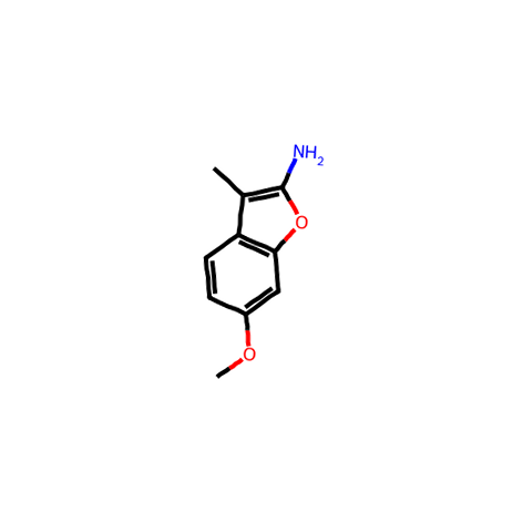 COc1ccc2c(C)c(N)oc2c1